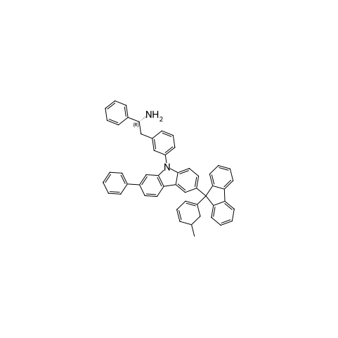 CC1C=CC=C(C2(c3ccc4c(c3)c3ccc(-c5ccccc5)cc3n4-c3cccc(C[C@@H](N)c4ccccc4)c3)c3ccccc3-c3ccccc32)C1